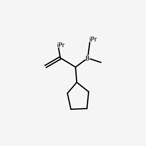 C=C(C(C)C)C(B(C)C(C)C)C1CCCC1